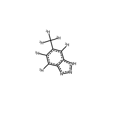 [2H]c1c(C([2H])([2H])[2H])c([2H])c2[nH]nnc2c1[2H]